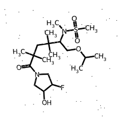 CC(C)OCC(N(C)S(C)(=O)=O)C(C)(C)CC(C)(C)C(=O)N1CC(O)C(F)C1